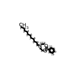 CCCCCCCCCCCCN1CCOB(c2ccccc2)OCC1